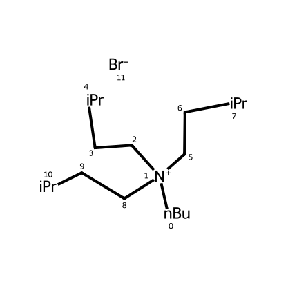 CCCC[N+](CCC(C)C)(CCC(C)C)CCC(C)C.[Br-]